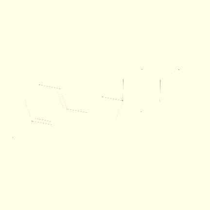 CCC1CCC(C)(/C=C/c2cccc(Cl)c2)CC1